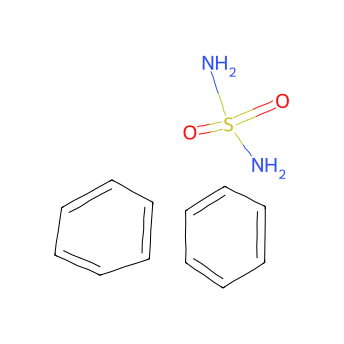 NS(N)(=O)=O.c1ccccc1.c1ccccc1